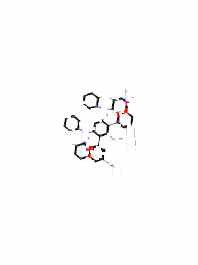 CC(C)(C)c1c(-c2cccc(C#N)c2)c(N2c3ccccc3Sc3ccccc32)cc(N2c3ccccc3Sc3ccccc32)c1-c1cccc(C#N)c1